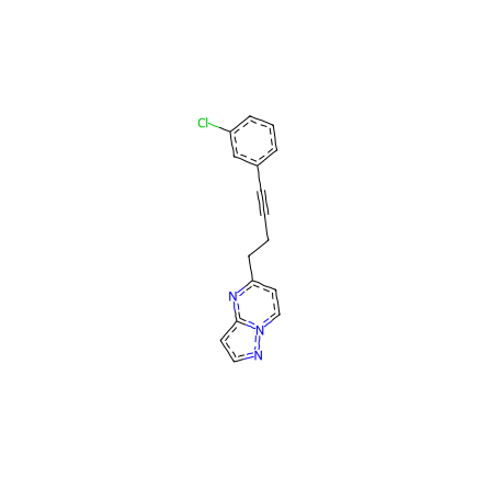 Clc1cccc(C#CCCc2ccn3nccc3n2)c1